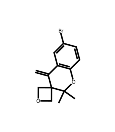 C=C1c2cc(Br)ccc2OC(C)(C)C12COC2